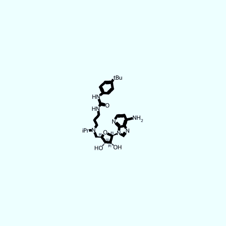 CC(C)N(CCCNC(=O)Nc1ccc(C(C)(C)C)cc1)C[C@H]1O[C@@H](n2cnc3c(N)ccnc32)[C@H](O)[C@@H]1O